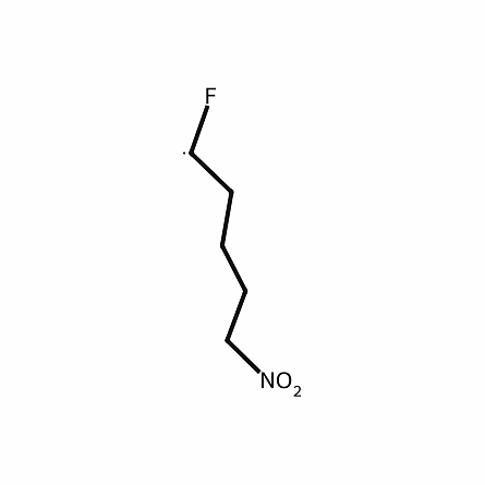 O=[N+]([O-])CCCC[CH]F